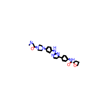 CN(C)CC(=O)N1CCN(c2ccc(Nc3nccc(-c4ccc(NC(=O)[C@@H]5CCCO5)cc4)n3)cc2)CC1